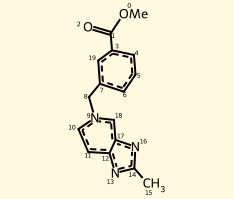 COC(=O)c1cccc(Cn2ccc3nc(C)nc-3c2)c1